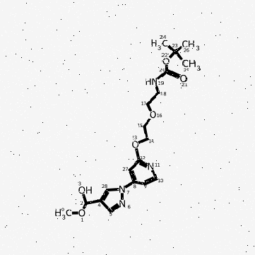 COC(O)c1cnn(-c2ccnc(OCCOCCNC(=O)OC(C)(C)C)c2)c1